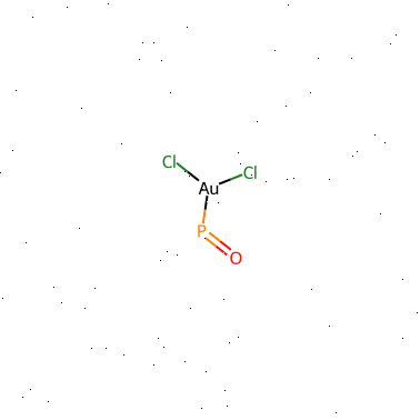 O=[P][Au]([Cl])[Cl]